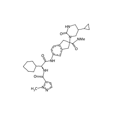 CNC(=O)C1(N2CC(C3CC3)CNC2=O)Cc2ccc(NC(=O)[C@@H](NC(=O)c3ccnn3C)C3CCCCC3)cc2C1